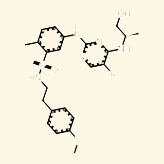 COc1ccc(CCNS(=O)(=O)c2cc(Nc3ncc(Br)c(N[C@H](C)CO)n3)ccc2C)cc1